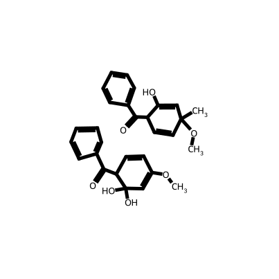 COC1(C)C=CC(C(=O)c2ccccc2)C(O)=C1.COC1=CC(O)(O)C(C(=O)c2ccccc2)C=C1